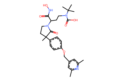 Cc1cc(COc2ccc(C3(C)CCN(C(CCN(C(=O)O)C(C)(C)C)C(=O)NO)C3=O)cc2)cc(C)n1